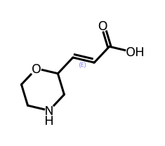 O=C(O)/C=C/C1CNCCO1